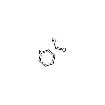 O=[CH][Ru].c1ccncc1